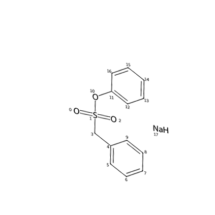 O=S(=O)(Cc1ccccc1)Oc1ccccc1.[NaH]